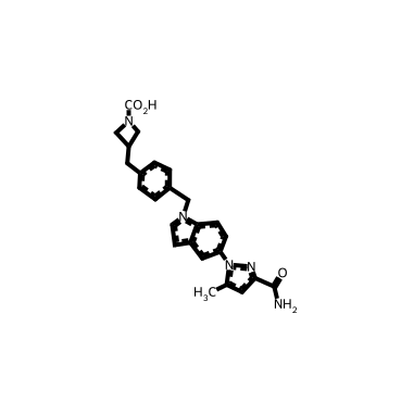 Cc1cc(C(N)=O)nn1-c1ccc2c(ccn2Cc2ccc(CC3CN(C(=O)O)C3)cc2)c1